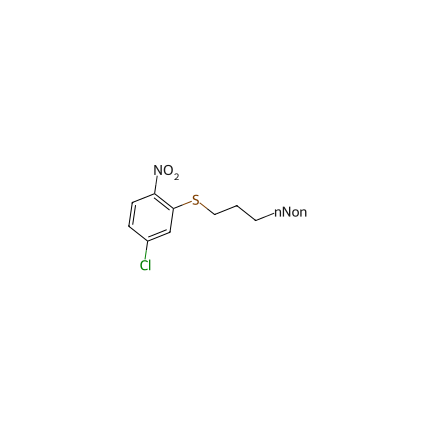 CCCCCCCCCCCCSc1cc(Cl)ccc1[N+](=O)[O-]